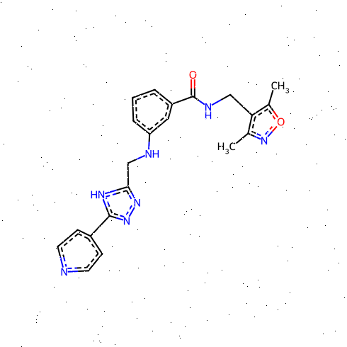 Cc1noc(C)c1CNC(=O)c1cccc(NCc2nnc(-c3ccncc3)[nH]2)c1